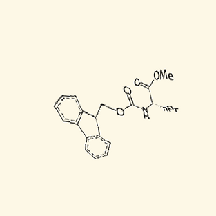 CCC[C@H](NC(=O)OCC1c2ccccc2-c2ccccc21)C(=O)OC